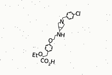 CCO[C@H](Cc1ccc(OCCNC2C3CN(Cc4ccc(Cl)cc4)CC32)cc1)C(=O)O